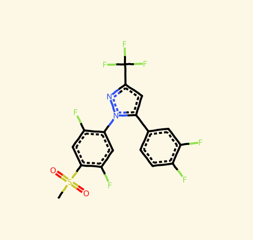 CS(=O)(=O)c1cc(F)c(-n2nc(C(F)(F)F)cc2-c2ccc(F)c(F)c2)cc1F